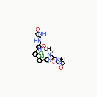 COc1nc(-c2cccc(-c3cccc(-c4ccn5c(=O)c(CN6CCN7C(=O)CC[C@H]7C6)cnc5c4)c3Cl)c2Cl)ccc1CNC[C@@H]1CCC(=O)N1